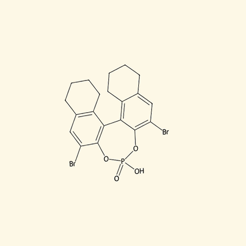 O=P1(O)Oc2c(Br)cc3c(c2-c2c4c(cc(Br)c2O1)CCCC4)CCCC3